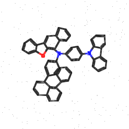 c1ccc(-c2cccc3cccc(-c4ccc(N(c5ccc(-n6c7ccccc7c7ccccc76)cc5)c5c6ccccc6cc6c5oc5ccccc56)cc4)c23)cc1